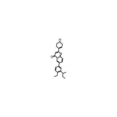 CCc1ccc(-c2ccc3nc(C4=CCNCC4)cc(=O)n3c2)cc1C(C)CC